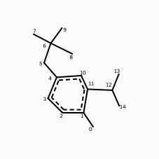 Cc1ccc(CC(C)(C)C)cc1C(C)C